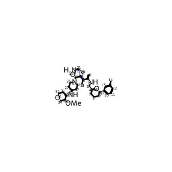 C=C(NC[C@@H]1CCC[C@H](c2cccc(C)c2)O1)/C(C)=C(\N=C/N)C(=O)N1CCC(N[C@H]2CCOCC2OC)CC1